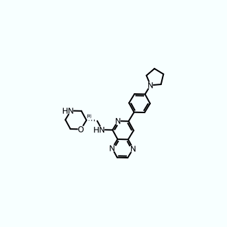 c1cnc2c(NC[C@H]3CNCCO3)nc(-c3ccc(N4CCCC4)cc3)cc2n1